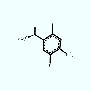 Cc1cc([N+](=O)[O-])c(F)cc1[C@H](C)C(=O)O